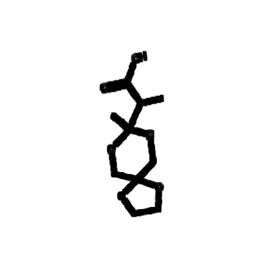 CC(C(=O)O)C1(C)OCC2(CO1)OCCO2